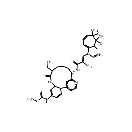 C=NN(/C=C(\N)C(=O)N[C@H]1CCCC(CC)C(=O)NC2C=C(NC(=O)OC)C=CC2c2ccnc1c2)C1=CC=CC(C)(C)C(C)(Cl)C1F